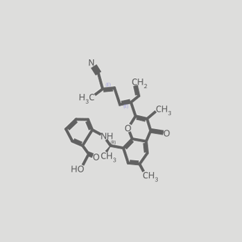 C=C/C(=C\C=C(/C)C#N)c1oc2c([C@@H](C)Nc3ccccc3C(=O)O)cc(C)cc2c(=O)c1C